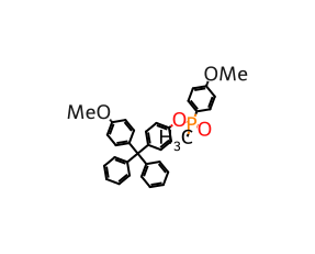 COc1ccc(C(c2ccccc2)(c2ccccc2)c2ccc(OP(C)(=O)c3ccc(OC)cc3)cc2)cc1